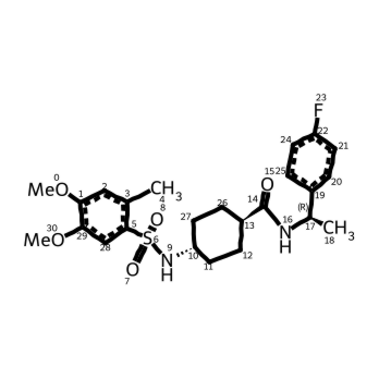 COc1cc(C)c(S(=O)(=O)N[C@H]2CC[C@H](C(=O)N[C@H](C)c3ccc(F)cc3)CC2)cc1OC